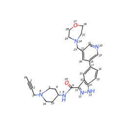 CC#CCN1CCC(NC(=O)c2n[nH]c3ccc(-c4cncc(CN5CCOCC5)c4)cc23)CC1